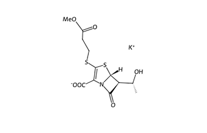 COC(=O)CCSC1=C(C(=O)[O-])N2C(=O)[C@H]([C@@H](C)O)[C@H]2S1.[K+]